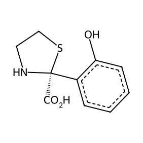 O=C(O)[C@]1(c2ccccc2O)NCCS1